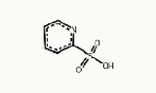 O=S(=O)(O)c1c[c]ccn1